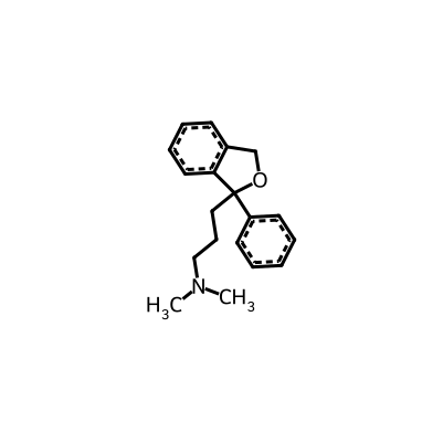 CN(C)CCCC1(c2ccccc2)OCc2ccccc21